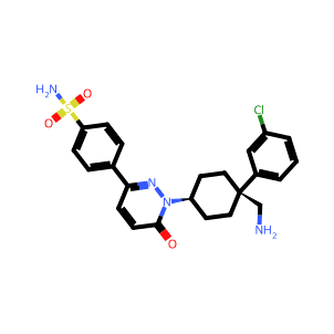 NC[C@]1(c2cccc(Cl)c2)CC[C@H](n2nc(-c3ccc(S(N)(=O)=O)cc3)ccc2=O)CC1